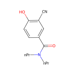 CCCN(CCC)C(=O)c1ccc(O)c(C#N)c1